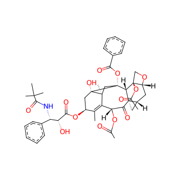 CC(=O)O[C@H]1C(=O)[C@]23C[C@H]2C[C@H]2OC[C@@]2(OC(C)=O)[C@H]3[C@]2(OC(=O)c3ccccc3)C[C@@]3(C)C1=C(C)[C@@H](OC(=O)[C@H](O)[C@@H](NC(=O)C(C)(C)C)c1ccccc1)C[C@]32O